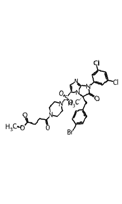 COC(=O)CCC(=O)N1CCN(S(=O)(=O)c2cnc3n2[C@](C)(Cc2ccc(Br)cc2)C(=O)N3c2cc(Cl)cc(Cl)c2)CC1